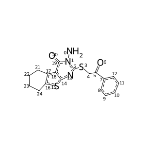 Nn1c(SCC(=O)c2ccccc2)nc2sc3c(c2c1=O)CCCC3